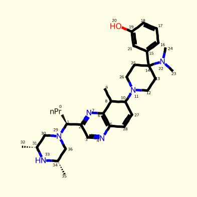 CCC[C@@H](c1cnc2c(n1)C(C)C(N1CCC(c3cccc(O)c3)(N(C)C)CC1)C=C2)N1C[C@@H](C)N[C@@H](C)C1